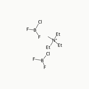 CC[N+](C)(CC)CC.FB(F)Cl.FB(F)Cl